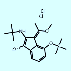 COC(C)=C1C(NC(C)(C)C)=[C]([Zr+2])c2cccc(O[Si](C)(C)C)c21.[Cl-].[Cl-]